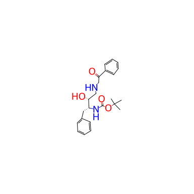 CC(C)(C)OC(=O)N[C@H](Cc1ccccc1)[C@H](O)CNCC(=O)c1ccccc1